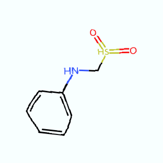 O=[SH](=O)CNc1ccccc1